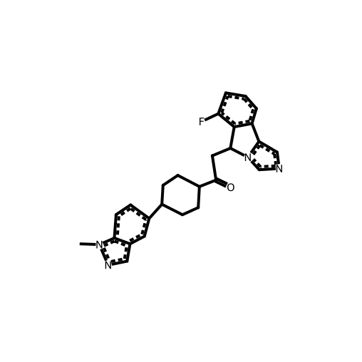 Cn1ncc2cc(C3CCC(C(=O)CC4c5c(F)cccc5-c5cncn54)CC3)ccc21